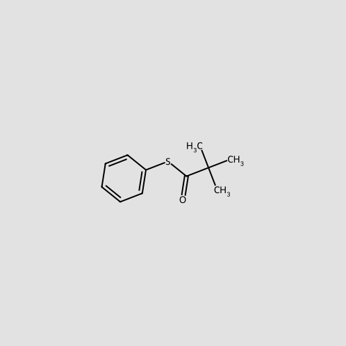 CC(C)(C)C(=O)Sc1ccccc1